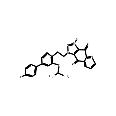 CC(C)Oc1cc(-c2ccc(F)cc2)ccc1CCn1n[n+]([O-])c2c1C(=O)c1cccnc1C2=O